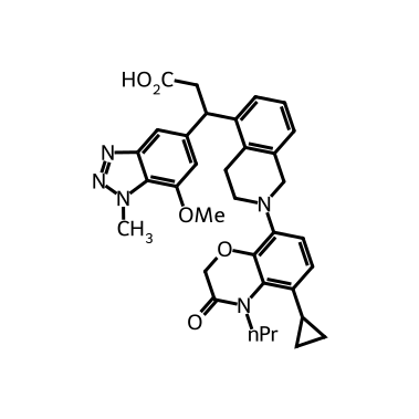 CCCN1C(=O)COc2c(N3CCc4c(cccc4C(CC(=O)O)c4cc(OC)c5c(c4)nnn5C)C3)ccc(C3CC3)c21